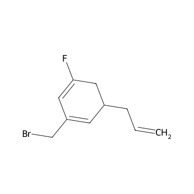 C=CCC1C=C(CBr)C=C(F)C1